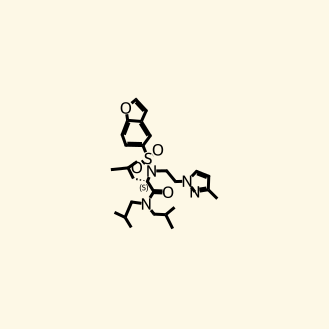 Cc1ccn(CCN([C@@H](CC(C)C)C(=O)N(CC(C)C)CC(C)C)S(=O)(=O)c2ccc3occc3c2)n1